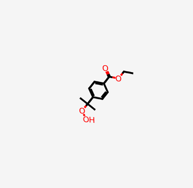 CCOC(=O)c1ccc(C(C)(C)OO)cc1